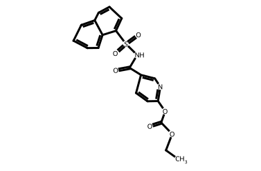 CCOC(=O)Oc1ccc(C(=O)NS(=O)(=O)c2cccc3ccccc23)cn1